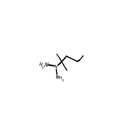 BN(N)C(C)(C)CCC